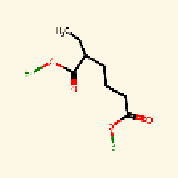 CCC(CCCC(=O)OBr)C(=O)OBr